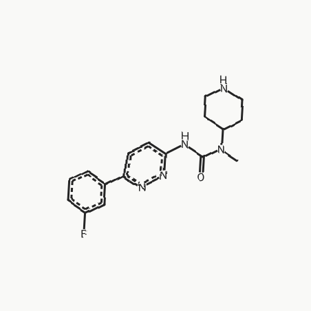 CN(C(=O)Nc1ccc(-c2cccc(F)c2)nn1)C1CCNCC1